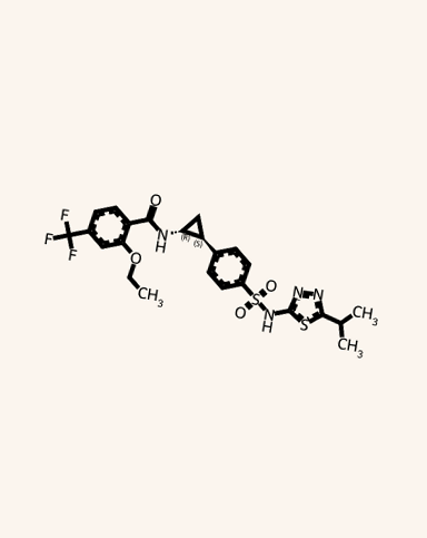 CCOc1cc(C(F)(F)F)ccc1C(=O)N[C@@H]1C[C@H]1c1ccc(S(=O)(=O)Nc2nnc(C(C)C)s2)cc1